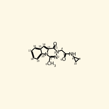 Cc1nn(CC(=O)NC2CC2)c(=O)c2cc3ccccc3n12